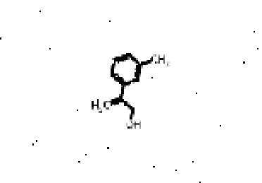 C=C(CO)c1cccc(C)c1